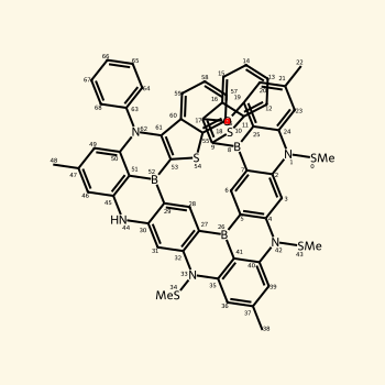 CSN1c2cc3c(cc2B2c4sc5ccccc5c4Oc4cc(C)cc1c42)B1c2cc4c(cc2N(SC)c2cc(C)cc(c21)N3SC)Nc1cc(C)cc2c1B4c1sc3ccccc3c1N2c1ccccc1